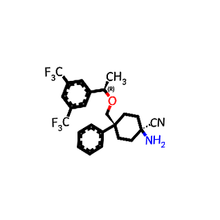 C[C@@H](OC[C@]1(c2ccccc2)CC[C@@](N)(C#N)CC1)c1cc(C(F)(F)F)cc(C(F)(F)F)c1